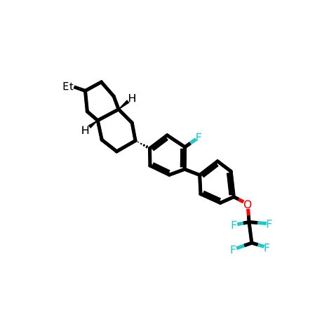 CCC1CC[C@@H]2C[C@H](c3ccc(-c4ccc(OC(F)(F)C(F)F)cc4)c(F)c3)CC[C@@H]2C1